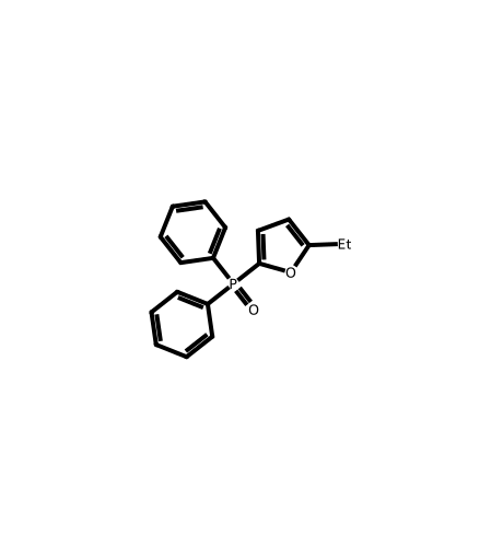 CCc1ccc(P(=O)(c2ccccc2)c2ccccc2)o1